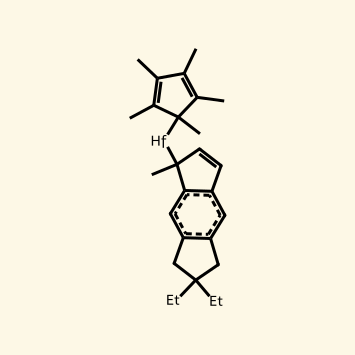 CCC1(CC)Cc2cc3c(cc2C1)[C](C)([Hf][C]1(C)C(C)=C(C)C(C)=C1C)C=C3